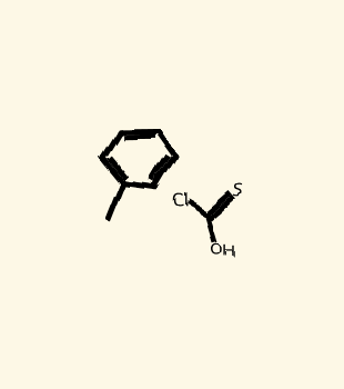 Cc1ccccc1.OC(=S)Cl